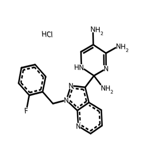 Cl.NC1=CNC(N)(c2nn(Cc3ccccc3F)c3ncccc23)N=C1N